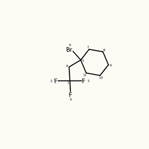 FC(F)(F)CC1(Br)CCCCC1